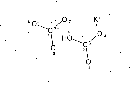 [K+].[O-][Cl+2]([O-])O.[O-][Cl+2]([O-])[O-]